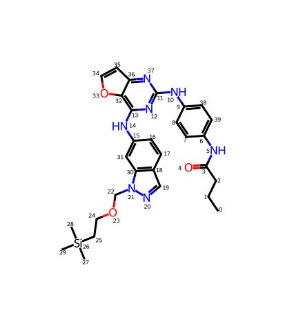 CCCC(=O)Nc1ccc(Nc2nc(Nc3ccc4cnn(COCC[Si](C)(C)C)c4c3)c3occc3n2)cc1